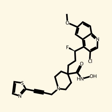 COc1ccc2ncc(Cl)c([C@H](F)CCC3(C(=O)NO)CCN(CC#Cc4nccs4)CC3)c2c1